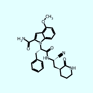 COc1cccc2c1cc(C(N)=O)n2[C@@H](Cc1ccccc1)C(=O)N[C@H](C#N)C[C@@H]1CCCNC1=O